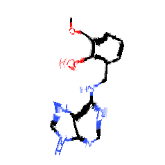 COc1cccc(CNc2ncnc3[nH]cnc23)c1O